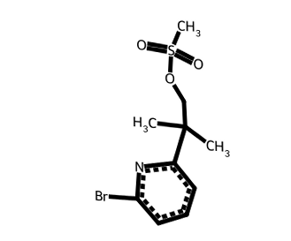 CC(C)(COS(C)(=O)=O)c1cccc(Br)n1